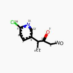 CCC(C(=O)CN=O)c1ccc(Cl)nc1